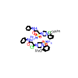 COc1ccccc1[N+]1(Cl)CCN(C(CC(=O)Nc2ccccc2)S(N)(=O)=O)CC1.COc1ccccc1[N+]1(S(N)(=O)=O)CCN(C(Cl)CC(=O)Nc2ccccc2)CC1